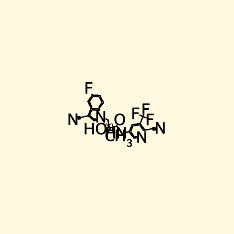 C[C@](O)(Cn1cc(C#N)c2cc(F)ccc21)C(=O)Nc1cnc(C#N)c(C(F)(F)F)c1